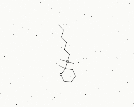 CCCCCC[Si](C)(C)C1(C)CCCCO1